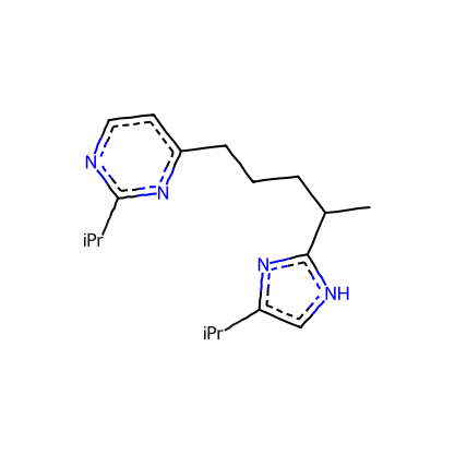 CC(C)c1c[nH]c(C(C)CCCc2ccnc(C(C)C)n2)n1